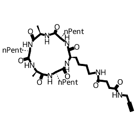 C#CCNC(=O)CCC(=O)NCCCC[C@H]1NC(=O)[C@H](CCCCC)NC(=O)[C@@H](C)NC(=O)[C@H](CCCCC)NC(=O)[C@@H](C)NC(=O)[C@H](CCCCC)NC1=O